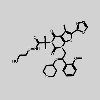 COc1ccccc1C(Cn1c(=O)n(C(C)(C)C(=O)NOCCO)c(=O)c2c(C)c(-c3ncco3)sc21)OC1CCOCC1